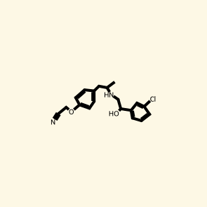 CC(Cc1ccc(OCC#N)cc1)NCC(O)c1cccc(Cl)c1